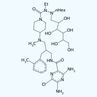 CCCCCCN(CC(O)C(O)C(O)C(O)CO)N(CC)C(=O)N1CCC(N(C)CC(CNC(=O)c2nc(Cl)c(N)nc2N)Cc2ccccc2C)CC1